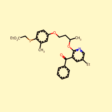 CCOC(=O)CSc1ccc(OCCC(C)Oc2ncc(CC)cc2C(=O)c2ccccc2)cc1C